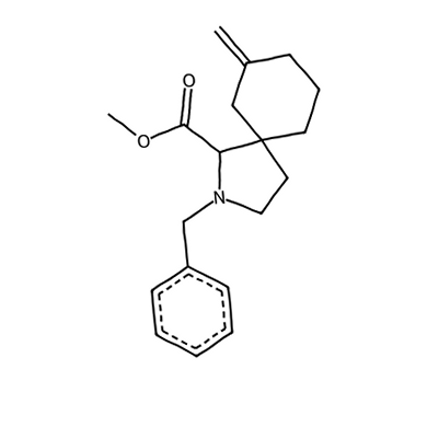 C=C1CCCC2(CCN(Cc3ccccc3)C2C(=O)OC)C1